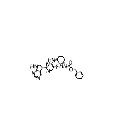 O=C(N[C@H]1CCC[C@@H](Nc2nc(C3CNc4ncncc43)ncc2F)C1)OCc1ccccc1